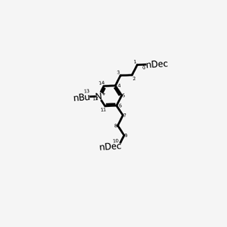 CCCCCCCCCCCCCc1cc(CCCCCCCCCCCCC)c[n+](CCCC)c1